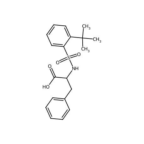 CC(C)(C)c1ccccc1S(=O)(=O)NC(Cc1ccccc1)C(=O)O